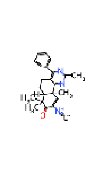 [C-]#[N+]C1=C[C@]2(C)c3nc(C)nc(-c4ccccc4)c3CC[C@H]2C(C)(C)C1=O